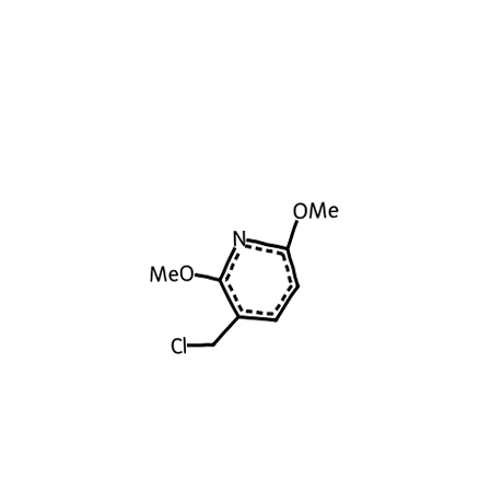 COc1ccc(CCl)c(OC)n1